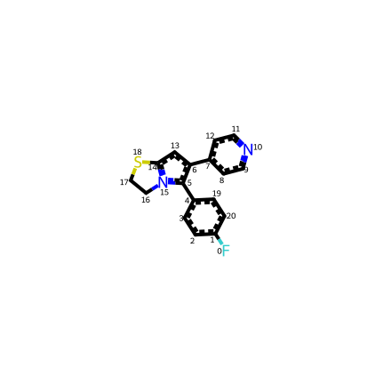 Fc1ccc(-c2c(-c3ccncc3)cc3n2CCS3)cc1